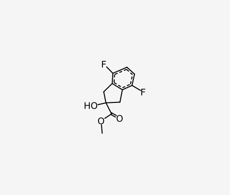 COC(=O)C1(O)Cc2c(F)ccc(F)c2C1